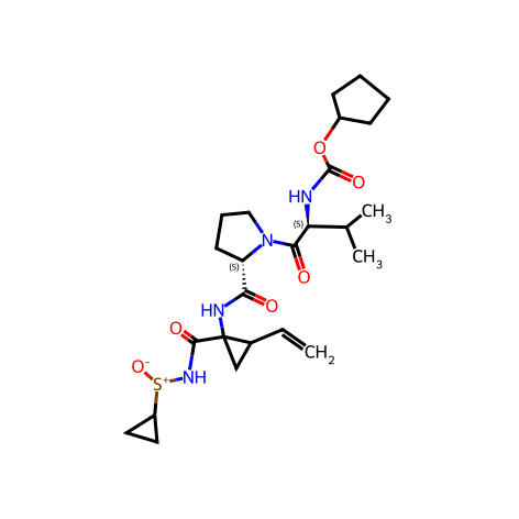 C=CC1CC1(NC(=O)[C@@H]1CCCN1C(=O)[C@@H](NC(=O)OC1CCCC1)C(C)C)C(=O)N[S+]([O-])C1CC1